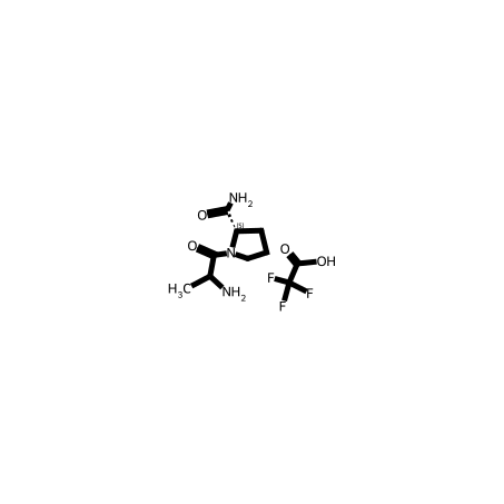 CC(N)C(=O)N1CCC[C@H]1C(N)=O.O=C(O)C(F)(F)F